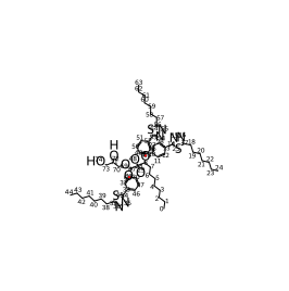 CCCCCCCCC(Oc1ccc(-c2nnc(CCCCCCC)s2)cc1)C(Oc1ccc(-c2nnc(CCCCCCC)s2)cc1)(Oc1ccc(-c2nnc(CCCCCCC)s2)cc1)C(=O)OCC(O)CO